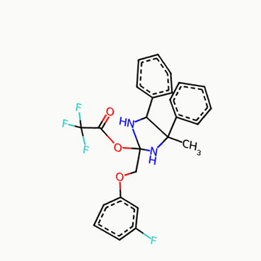 CC1(c2ccccc2)NC(COc2cccc(F)c2)(OC(=O)C(F)(F)F)NC1c1ccccc1